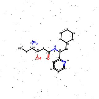 CC(C)C[C@H](N)[C@@H](O)CC(=O)NC(CC1CCCCC1)c1ccccn1